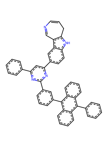 C1=CN=Cc2c([nH]c3ccc(-c4cc(-c5ccccc5)nc(-c5cccc(-c6c7ccccc7c(-c7ccccc7)c7ccccc67)c5)n4)cc23)C1